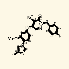 COc1cc(Nc2cnn(Cc3ccc(F)cc3)c(=O)c2Br)ccc1-n1cnc(C)c1